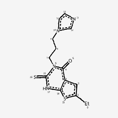 CCc1cc2c(=O)n(CCCn3ccnc3)c(=S)[nH]c2s1